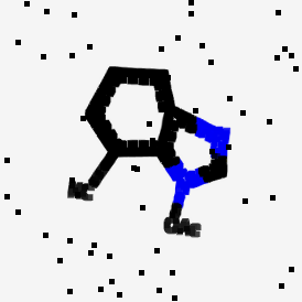 CC(=O)On1cnc2cccc(C#N)c21